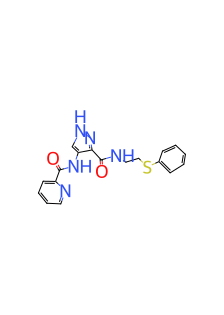 O=C(Nc1c[nH]nc1C(=O)NCCSc1ccccc1)c1ccccn1